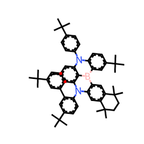 Cc1cc2c3c(c1)N(c1ccc(C(C)(C)C)cc1-c1cccc(C(C)(C)C)c1)c1cc4c(cc1B3c1cc(C(C)(C)C)ccc1N2c1ccc(C(C)(C)C)cc1)C(C)(C)CCC4(C)C